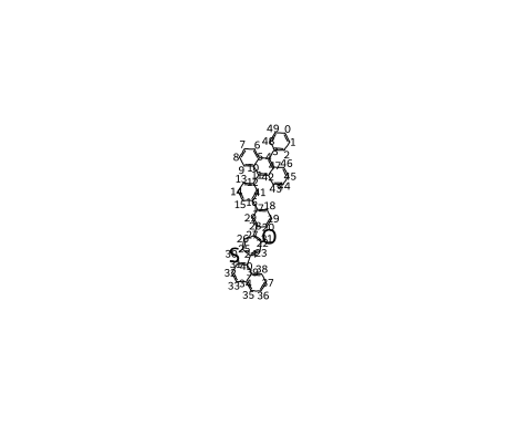 c1ccc(-c2c3ccccc3c(-c3cccc(-c4ccc5oc6cc7c(cc6c5c4)sc4ccc5ccccc5c47)c3)c3ccccc23)cc1